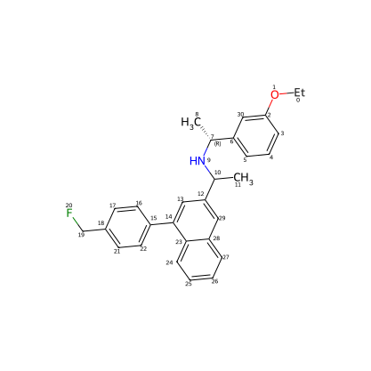 CCOc1cccc([C@@H](C)NC(C)c2cc(-c3ccc(CF)cc3)c3ccccc3c2)c1